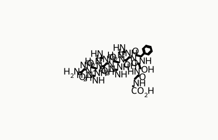 N=C(N)NC(NC(=O)C(NC(=N)N)NC(=O)C(NC(=N)N)NC(=O)C(NC(=N)N)NC(=O)C(NC(=O)C(O)NC(=O)CNCC(=O)O)c1ccccc1)C(=O)NC(N)C(N)=O